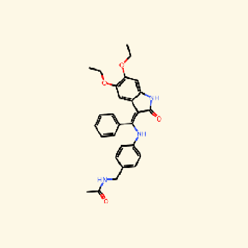 CCOc1cc2c(cc1OCC)/C(=C(/Nc1ccc(CNC(C)=O)cc1)c1ccccc1)C(=O)N2